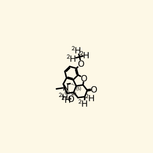 [2H]O[C@@]12CC([2H])([2H])C(=O)C3Oc4c(OC([2H])([2H])[2H])ccc5c4[C@@]31CCN(C)[C@]2([2H])C5